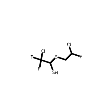 FC(Cl)CSC(S)C(F)(F)Cl